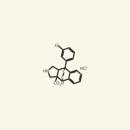 Cl.O=C(O)C12CNCC1C1(c3cccc(Cl)c3)CCC2c2ccccc21